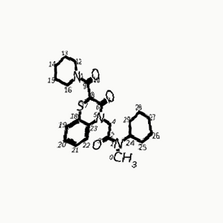 CN(C(=O)CN1C(=O)C(C(=O)N2CCCCC2)Sc2ccccc21)C1CCCCC1